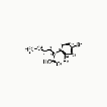 COCCN(C(=O)O)c1ccc(Br)cc1F